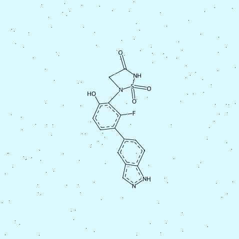 O=C1CN(c2c(O)ccc(-c3ccc4[nH]ncc4c3)c2F)S(=O)(=O)N1